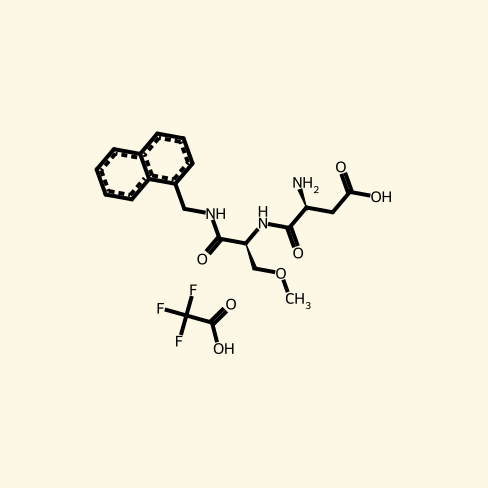 COC[C@H](NC(=O)[C@@H](N)CC(=O)O)C(=O)NCc1cccc2ccccc12.O=C(O)C(F)(F)F